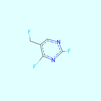 FCc1cnc(F)nc1F